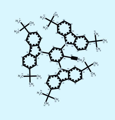 CC(C)(C)c1ccc2c(c1)c1ccc(C(C)(C)C)cc1n2-c1cc(-n2c3ccc(C(C)(C)C)cc3c3ccc(C(C)(C)C)cc32)c(C#N)c(-n2c3ccc(C(C)(C)C)cc3c3ccc(C(C)(C)C)cc32)c1